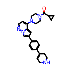 O=C(C1CC1)N1CCN(c2ccnn3cc(-c4ccc(C5=CCNCC5)cc4)cc23)CC1